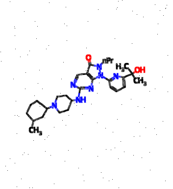 CCCn1c(=O)c2cnc(NC3CCN(C4CCCC(C)C4)CC3)nc2n1-c1cccc(C(C)(C)O)n1